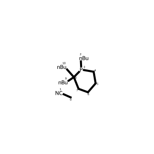 CC#N.CCCCP1CCCCC1(CCCC)CCCC